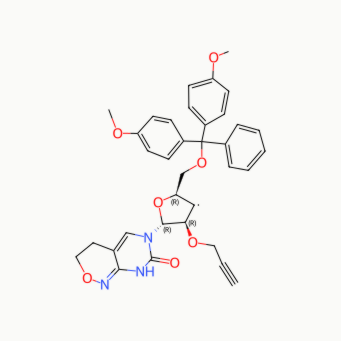 C#CCO[C@@H]1[CH][C@H](COC(c2ccccc2)(c2ccc(OC)cc2)c2ccc(OC)cc2)O[C@H]1N1C=C2CCON=C2NC1=O